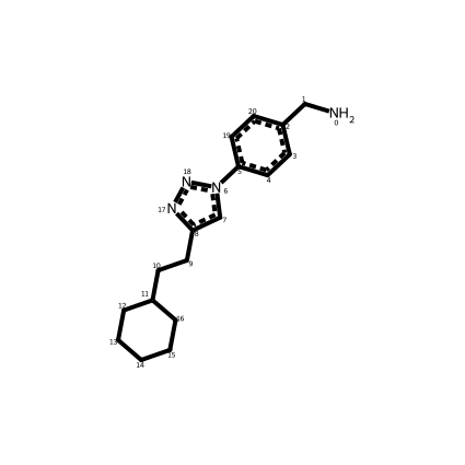 NCc1ccc(-n2cc(CCC3CCCCC3)nn2)cc1